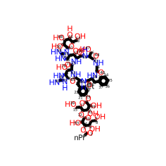 CCCC(=O)OC1C(O)C(CO)OC(OC2C(CO)OC(Oc3ccc(CC4NC(=O)C(C(CC)c5ccccc5)NC(=O)CNC(=O)C(CO)NC(=O)C(C(O)C5CNC(=N)N5C5OC(CO)C(O)C(O)C5O)NC(=O)C(C(O)C5CNC(=N)N5)NC4=O)cc3)C(O)C2O)C1O